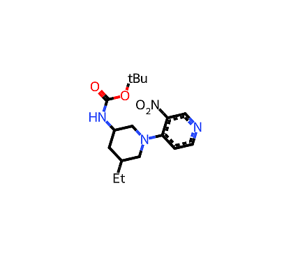 CCC1CC(NC(=O)OC(C)(C)C)CN(c2ccncc2[N+](=O)[O-])C1